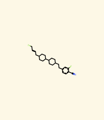 N#Cc1ccc(CCC2CCC(C3CCC(C/C=C/CF)CC3)CC2)cc1F